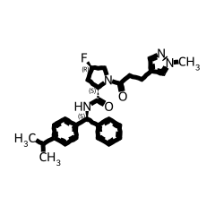 CC(C)c1ccc([C@@H](NC(=O)[C@@H]2C[C@@H](F)CN2C(=O)CCc2cnn(C)c2)c2ccccc2)cc1